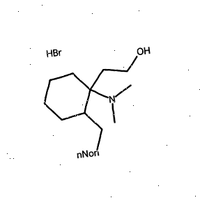 Br.CCCCCCCCCCC1CCCCC1(CCO)N(C)C